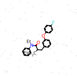 CCOC(=O)C(Cc1cccc(Oc2ccc(F)cc2)c1)C(=O)N(CC)c1ccccc1